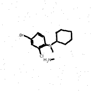 CN.CN(c1ccc(Br)cc1Cl)C1CCCCC1